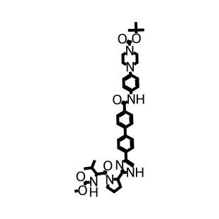 COC(=O)NC(C(=O)N1CCCC1c1nc(-c2ccc(-c3ccc(C(=O)Nc4ccc(N5CCN(C(=O)OC(C)(C)C)CC5)cc4)cc3)cc2)c[nH]1)C(C)C